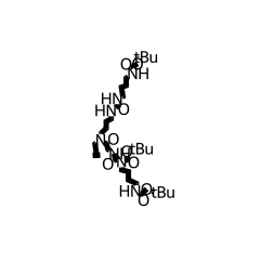 C#CCN(CCCCNC(=O)NCCCCNC(=O)OC(C)(C)C)C(=O)CNC(=O)N(CCCCNC(=O)OC(C)(C)C)C(=O)OC(C)(C)C